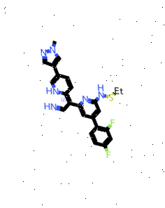 CCSNc1cc(-c2ccc(F)cc2F)cc(/C(C=N)=C2\C=CC(c3cnn(C)c3)=CN2)n1